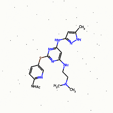 CC(=O)Nc1ccc(Sc2nc(NCCN(C)C)cc(Nc3cc(C)[nH]n3)n2)cn1